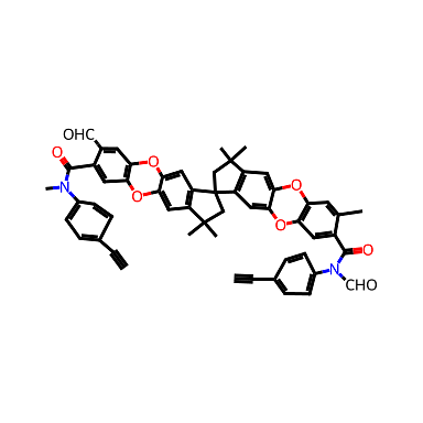 C#Cc1ccc(N(C)C(=O)c2cc3c(cc2C=O)Oc2cc4c(cc2O3)C(C)(C)CC42CC(C)(C)c3cc4c(cc32)Oc2cc(C(=O)N(C=O)c3ccc(C#C)cc3)c(C)cc2O4)cc1